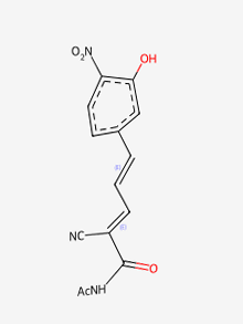 CC(=O)NC(=O)/C(C#N)=C/C=C/c1ccc([N+](=O)[O-])c(O)c1